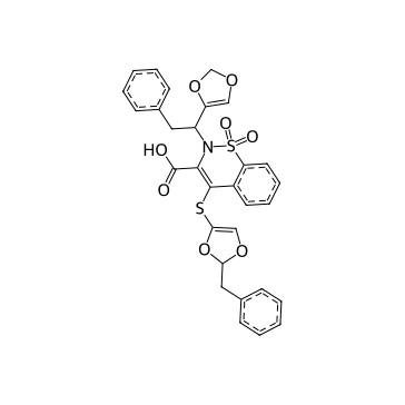 O=C(O)C1=C(SC2=COC(Cc3ccccc3)O2)c2ccccc2S(=O)(=O)N1C(Cc1ccccc1)C1=COCO1